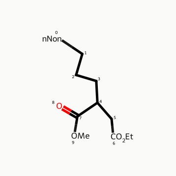 CCCCCCCCCCCCC(CC(=O)OCC)C(=O)OC